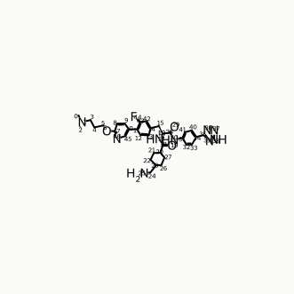 CN(C)CCCOc1ccc(-c2ccc(C[C@H](NC(=O)C3CCC(CN)CC3)C(=O)Nc3ccc(-c4nn[nH]n4)cc3)cc2F)cn1